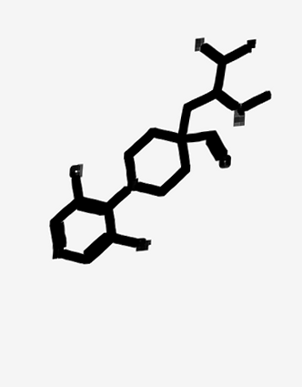 CNC(CC1(C=O)CCN(c2c(Cl)cncc2Br)CC1)C(F)F